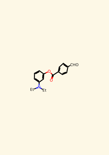 CCN(CC)c1cccc(OC(=O)c2ccc(C=O)cc2)c1